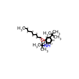 CCCCCCCCOc1cc(C(C)(C)C)ccc1NC(C)(C)C